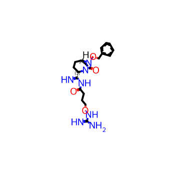 N=C(N)NOCCCC(=O)NC(=N)[C@@H]1CC[C@@H]2CN1C(=O)N2OCc1ccccc1